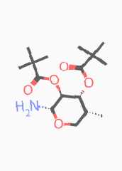 C[C@@H]1CO[C@H](N)[C@@H](OC(=O)C(C)(C)C)[C@@H]1OC(=O)C(C)(C)C